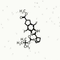 COC(=O)C1Cc2c(c(F)c3[nH]c(C45CC(CN4C(=O)OC(C)(C)C)C5)nc3c2F)C1